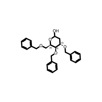 OC1C[C@H](OCc2ccccc2)[C@@H](OCc2ccccc2)[C@@H](COCc2ccccc2)O1